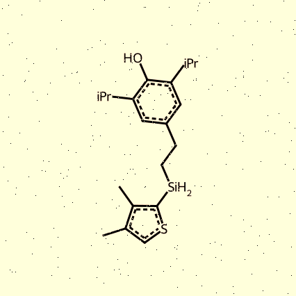 Cc1csc([SiH2]CCc2cc(C(C)C)c(O)c(C(C)C)c2)c1C